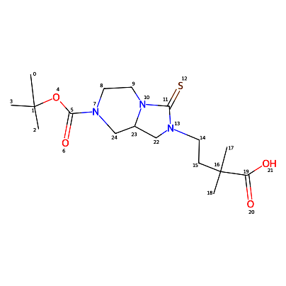 CC(C)(C)OC(=O)N1CCN2C(=S)N(CCC(C)(C)C(=O)O)CC2C1